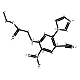 CCOC(=O)CNc1cc(-n2ccnc2)c(C#N)cc1[N+](=O)[O-]